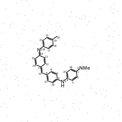 CNc1ccc(Nc2ccc(C=C3C=CC(=Nc4ccc(C)cc4)C=C3)cc2)cc1